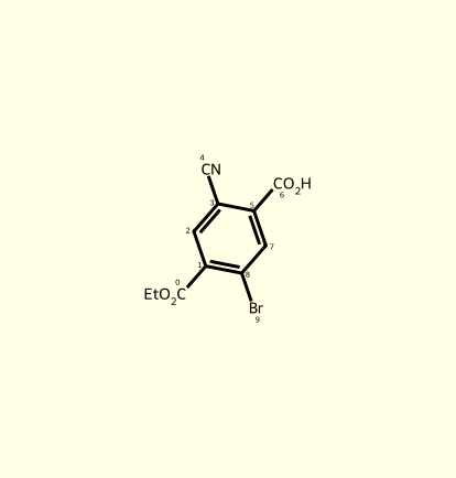 CCOC(=O)c1cc(C#N)c(C(=O)O)cc1Br